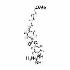 COCCOCCCOc1ccc(C(=O)Oc2ccc(NC(=N)N)cc2)cc1